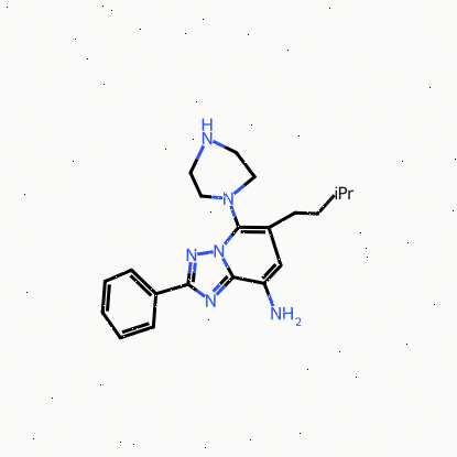 CC(C)CCc1cc(N)c2nc(-c3ccccc3)nn2c1N1CCNCC1